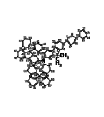 CC1(C)c2cc(-c3ccc(-c4ccccc4)cc3)ccc2-c2ccc(N(c3ccc4c(c3)C(c3ccccc3)(c3ccccc3)c3ccccc3-4)c3cccc4c3-c3ccccc3C43c4ccccc4-c4ccccc43)cc21